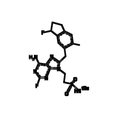 Cc1cc2c(cc1Cc1nc3c(N)nc(F)nc3n1CCS(=O)(=O)NC(C)(C)C)C(F)CC2